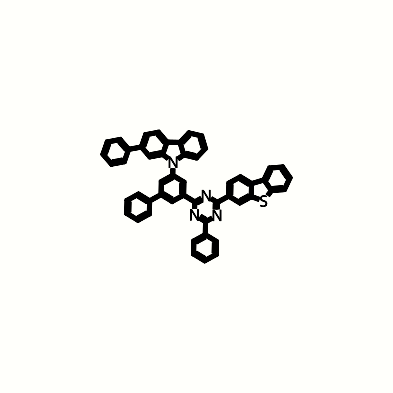 c1ccc(-c2cc(-c3nc(-c4ccccc4)nc(-c4ccc5c(c4)sc4ccccc45)n3)cc(-n3c4ccccc4c4ccc(-c5ccccc5)cc43)c2)cc1